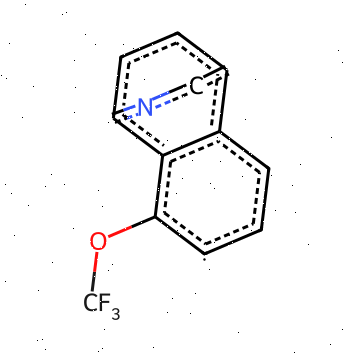 FC(F)(F)Oc1[c]ccc2c3ccc(nc3)c12